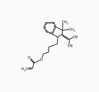 C=CC(=O)OCCCCN1C(=C(C#N)C#N)C(C)(C)c2ccccc21